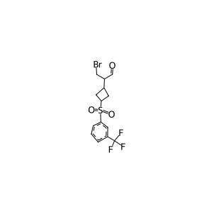 O=CC(CBr)C1CC(S(=O)(=O)c2cccc(C(F)(F)F)c2)C1